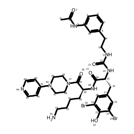 CC(=O)Nc1cccc(CCNC(=O)N[C@H](Cc2cc(Br)c(O)c(Br)c2)C(=O)N[C@@H](CCCCN)C(=O)N2CCN(c3ccncc3)CC2)c1